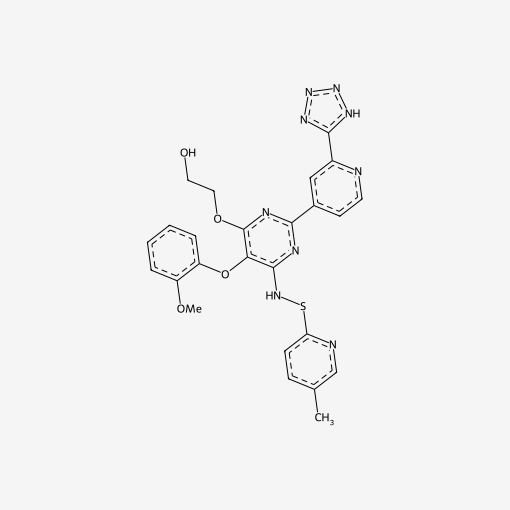 COc1ccccc1Oc1c(NSc2ccc(C)cn2)nc(-c2ccnc(-c3nnn[nH]3)c2)nc1OCCO